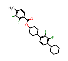 Cc1ccc(C(=O)OC2CCC(c3ccc(C4CCCCC4)c(F)c3F)CC2)c(F)c1F